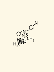 Cc1sc(N(CCc2ccc(C#N)cc2)Cc2ccccc2)nc1C(=O)NS(C)(=O)=O